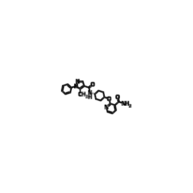 Cc1c(C(=O)N[C@H]2CC[C@H](Oc3ncccc3C(N)=O)CC2)cnn1-c1ccccc1